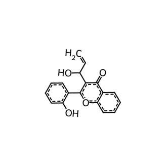 C=CC(O)c1c(-c2ccccc2O)oc2ccccc2c1=O